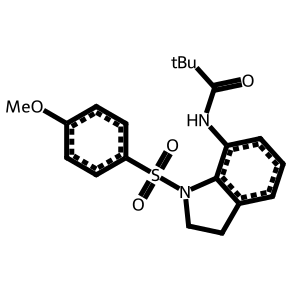 COc1ccc(S(=O)(=O)N2CCc3cccc(NC(=O)C(C)(C)C)c32)cc1